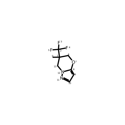 CC1(C(F)(F)F)COc2ccnn2C1